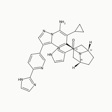 Nc1c(C2CC2)c([C@@H]2C[C@H]3CC[C@@H](C2)N3C(=O)c2cc[nH]c2)nc2c(-c3ccc(-c4ncc[nH]4)nc3)cnn12